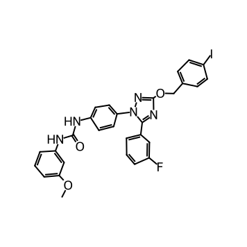 COc1cccc(NC(=O)Nc2ccc(-n3nc(OCc4ccc(I)cc4)nc3-c3cccc(F)c3)cc2)c1